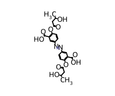 CC(O)CC(=O)Oc1ccc(/N=N/c2ccc(OC(=O)CC(C)O)c(C(=O)O)c2)cc1C(=O)O